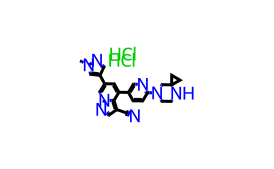 Cl.Cl.Cn1cc(-c2cc(-c3ccc(N4CCNC5(CC5)C4)nc3)c3c(C#N)cnn3c2)cn1